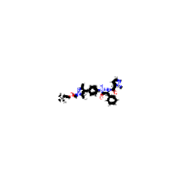 Cc1nn(COCC[Si](C)(C)C)c(C)c1-c1ccc(NC(=O)[C@@H](NC(=O)c2ccnn2C)C2CCCCC2)cc1